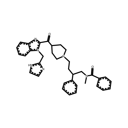 CN(CC(CCN1CCC(C(=O)c2nc3ccccc3n2Cc2ncc[nH]2)CC1)c1ccccc1)C(=O)c1ccccc1